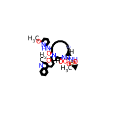 COc1cccc(N[C@H]2CCCCC/C=C\[C@@H]3C[C@@]3(C(=O)NS(=O)(=O)C3(C)CC3)NC(=O)[C@@H]3C[C@]4(CCc5c(c(C)nc6ccccc56)O4)CN3C2=O)n1